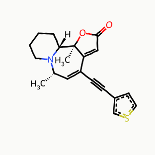 C[C@H]1C=C(C#Cc2ccsc2)C2=CC(=O)O[C@]2(C)[C@H]2CCCCN12